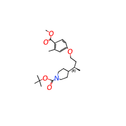 COC(=O)c1ccc(OCC[C@@H](C)C2CCN(C(=O)OC(C)(C)C)CC2)cc1C